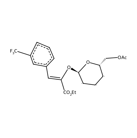 CCOC(=O)/C(=C/c1cccc(C(F)(F)F)c1)O[C@@H]1[CH][CH][CH][C@@H](COC(C)=O)O1